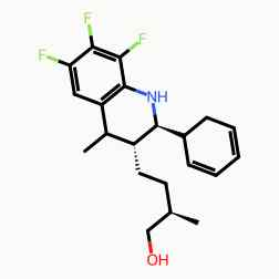 CC1c2cc(F)c(F)c(F)c2N[C@@H](C2C=CC=CC2)[C@@H]1CC[C@@H](C)CO